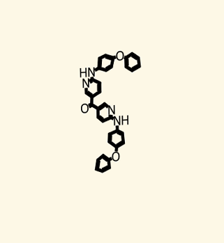 O=C(c1ccc(Nc2ccc(Oc3ccccc3)cc2)nc1)c1ccc(Nc2ccc(Oc3ccccc3)cc2)nc1